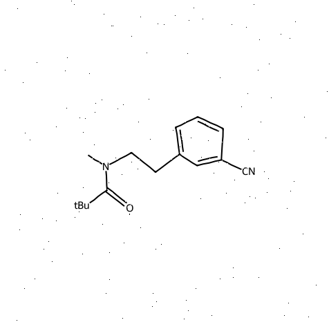 CN(CCc1cccc(C#N)c1)C(=O)C(C)(C)C